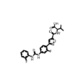 CC(C)C(NC(=O)c1cc(-c2ccc(NC(=O)Nc3ccccc3F)cc2F)no1)C(=O)O